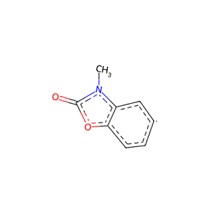 Cn1c(=O)oc2cc[c]cc21